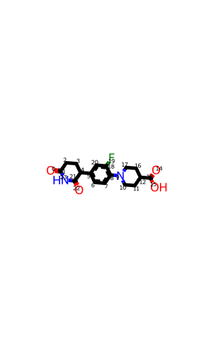 O=C1CCC(c2ccc(N3CCC(C(=O)O)CC3)c(F)c2)C(=O)N1